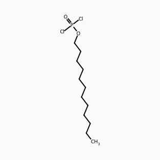 CCCCCCCCCCCCOP(=O)(Cl)Cl